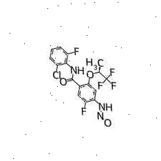 C[C@H](Oc1cc(NN=O)c(F)cc1C(=O)Nc1c(F)cccc1Cl)C(F)(F)F